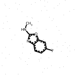 CNc1nc2ccc(F)cc2o1